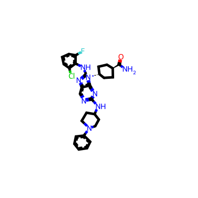 NC(=O)[C@H]1CC[C@H](n2c(Nc3c(F)cccc3Cl)nc3cnc(NC4CCN(c5ccccc5)CC4)nc32)CC1